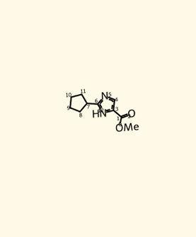 COC(=O)c1cnc(C2CCCC2)[nH]1